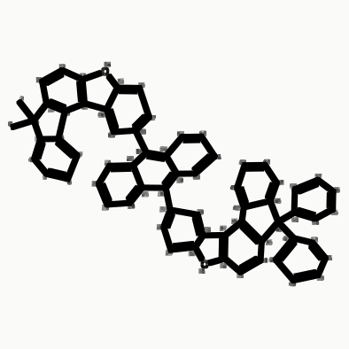 CC1(C)c2ccccc2-c2c1ccc1oc3ccc(-c4c5ccccc5c(-c5ccc6oc7ccc8c(c7c6c5)-c5ccccc5C8(c5ccccc5)c5ccccc5)c5ccccc45)cc3c21